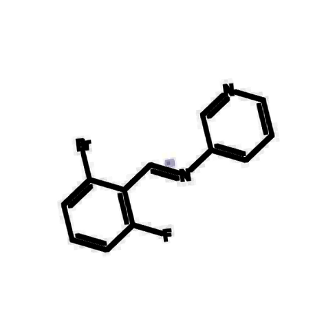 Fc1cccc(Br)c1/C=N/c1cccnc1